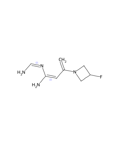 C=C(/C=C(N)\N=C/N)N1CC(F)C1